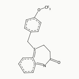 O=C1CCS(Cc2ccc(OC(F)(F)F)cc2)=c2ccccc2=N1